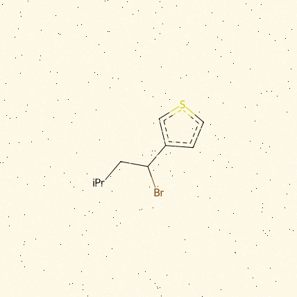 CC(C)CC(Br)c1ccsc1